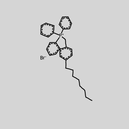 CCCCCCCCc1ccc(C[P+](c2ccccc2)(c2ccccc2)c2ccccc2)cc1.[Br-]